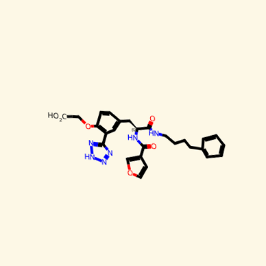 O=C(O)COc1ccc(C[C@H](NC(=O)c2ccoc2)C(=O)NCCCCc2ccccc2)cc1-c1nn[nH]n1